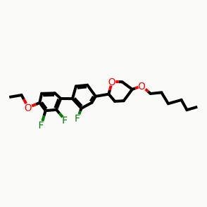 CCCCCCOC1CCC(c2ccc(-c3ccc(OCC)c(F)c3F)c(F)c2)OC1